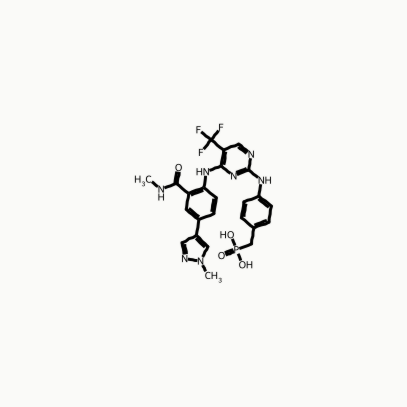 CNC(=O)c1cc(-c2cnn(C)c2)ccc1Nc1nc(Nc2ccc(CP(=O)(O)O)cc2)ncc1C(F)(F)F